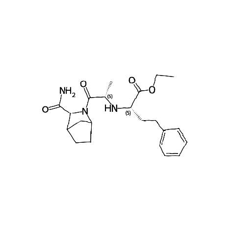 CCOC(=O)[C@H](CCc1ccccc1)N[C@@H](C)C(=O)N1C2CCC(C2)C1C(N)=O